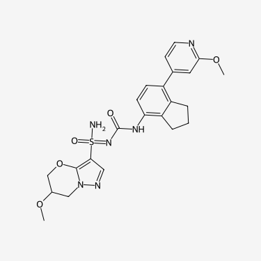 COc1cc(-c2ccc(NC(=O)N=S(N)(=O)c3cnn4c3OCC(OC)C4)c3c2CCC3)ccn1